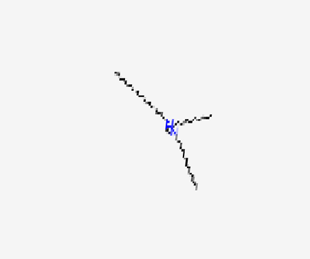 CCCCCCCCCCCCCCCCCCN1C=CN(CCCCCCCCCCCCCC)C1CCCCCCCCC